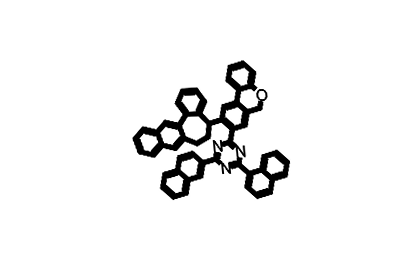 c1ccc2c(c1)OCc1cc(-c3nc(-c4ccc5ccccc5c4)nc(-c4cccc5ccccc45)n3)c(C3CCc4cc5ccccc5cc4-c4ccccc43)cc1-2